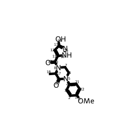 COc1ccc(N2CCN(C(=O)c3cc(O)n[nH]3)C(C)C2=O)cc1